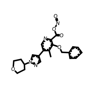 Cc1c(-c2cnn(C3CCOCC3)c2)cnc(C(=O)ON=O)c1OCc1ccccc1